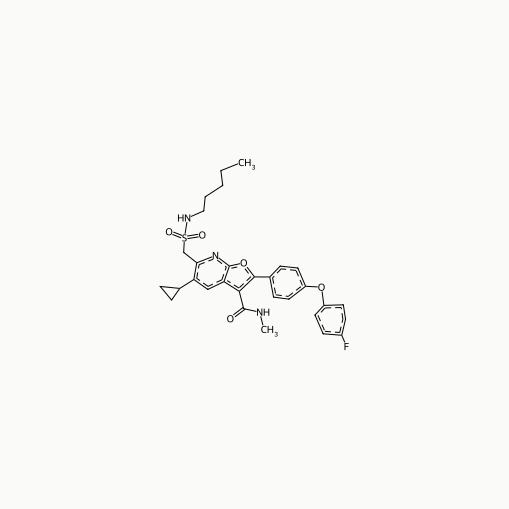 CCCCCNS(=O)(=O)Cc1nc2oc(-c3ccc(Oc4ccc(F)cc4)cc3)c(C(=O)NC)c2cc1C1CC1